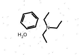 CCN(CC)CC.O.c1ccccc1